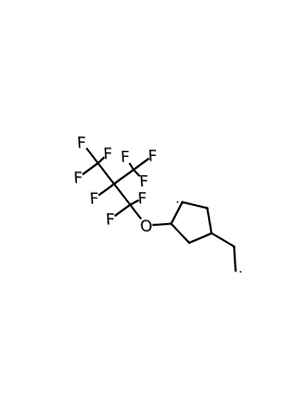 [CH2]CC1C[CH]C(OC(F)(F)C(F)(C(F)(F)F)C(F)(F)F)C1